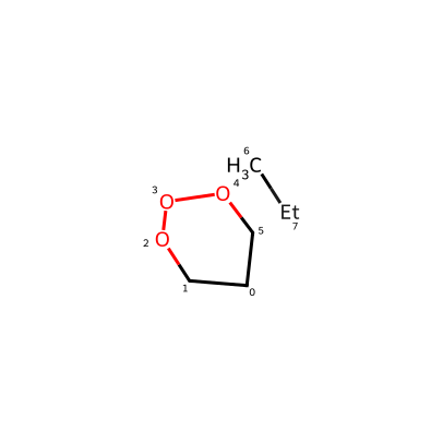 C1COOOC1.CCC